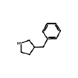 c1ccc(CC2CCNC2)cc1